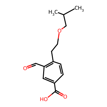 CC(C)COCCc1ccc(C(=O)O)cc1C=O